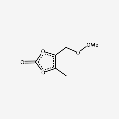 COOCc1oc(=O)oc1C